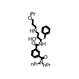 CCCN(CCC)C(=O)c1cccc(C(=O)N[C@@H](Cc2ccccc2)[C@H](O)CNCCCOC(C)C)c1